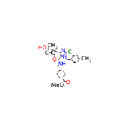 COC(=O)[C@H]1CC[C@H](CNC(=O)c2c(C#CC(C)(C)O)nc(Cl)n2Cc2ccc(C)cc2)CC1